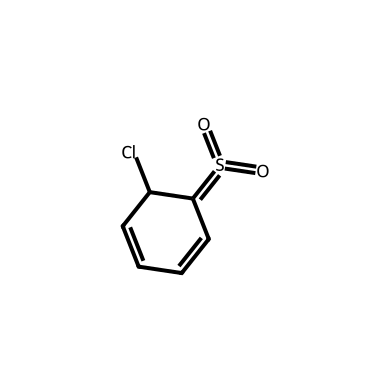 O=S(=O)=C1C=CC=CC1Cl